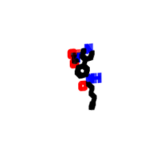 C#CCCCC(=O)Nc1cccc(-c2ccncc2[N+](=O)[O-])c1